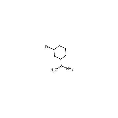 CCC1CCCC(C(C)N)C1